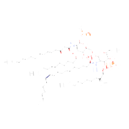 CCCCCC/C=C\CCCCCCCCCC(=O)NC1C(OCC2OC(O[PH](C)=O)C(NC(=O)CC(=O)CCCCCCCCCCC)C(OCCCCCCCCCC)C2O)OC(CC)C(O[PH](=O)O)C1OCC[C@H](C)CCCCCCC